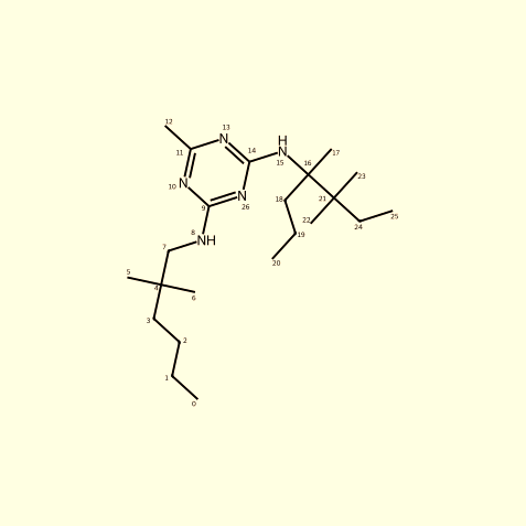 CCCCC(C)(C)CNc1nc(C)nc(NC(C)(CCC)C(C)(C)CC)n1